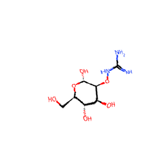 N=C(N)NO[C@H]1[C@@H](O)[C@H](O)[C@@H](CO)O[C@@H]1O